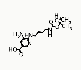 CC(C)(C)OC(=O)NCC=CCNc1ncc(C(=O)O)cc1N